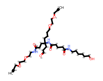 C#CCOCCOCCCCC(CCC=O)(CCC(=O)NCCOCCOCC#C)NC(=O)CCCC(=O)NCCCCCCO